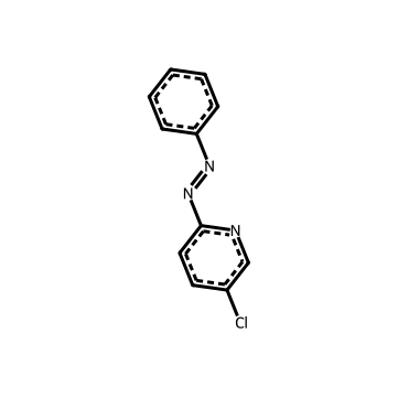 Clc1ccc(/N=N/c2ccccc2)nc1